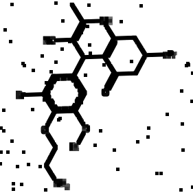 CCCC1CC(=O)C2=C(C1)NC(C)=C(C#N)C2c1cc(Br)c(OCCN)c(OCC)c1